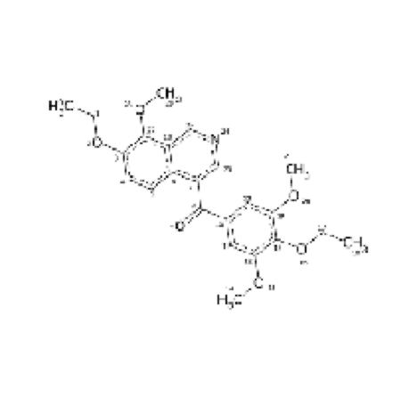 CCOc1ccc2c(C(=O)c3cc(OC)c(OCC)c(OC)c3)cncc2c1OC